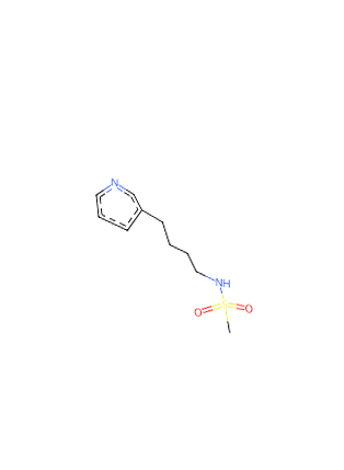 CS(=O)(=O)NCCCCc1cccnc1